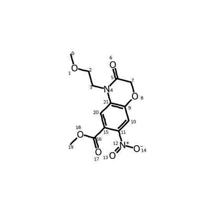 COCCN1C(=O)COc2cc([N+](=O)[O-])c(C(=O)OC)cc21